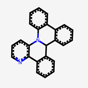 c1ccc2c(c1)-c1ccccc1N1c3cccnc3-c3ccccc3C21